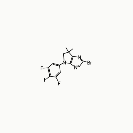 CC1(C)CN(c2cc(F)c(F)c(F)c2)c2ncc(Br)nc21